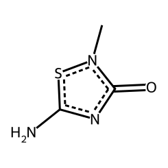 Cn1sc(N)nc1=O